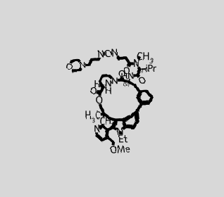 CCn1c(-c2cnccc2COC)c2c3cc(ccc31)-c1cccc(c1)C[C@H](NC(=O)[C@H](C(C)C)N(C)C(=O)CCN=C=NCCCN1CCOCC1)C(=O)N1CCC[C@H](N1)C(=O)OCC(C)(C)C2